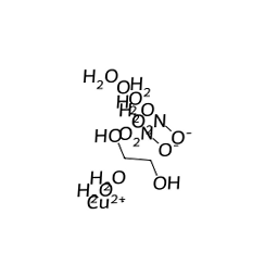 O.O.O.O.O.O.O=[N+]([O-])[O-].O=[N+]([O-])[O-].OCCO.[Cu+2]